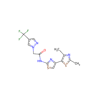 Cc1nc(C)c(-c2csc(NC(=O)Cn3cc(C(F)(F)F)cn3)n2)s1